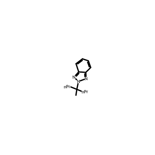 CCCC(C)(CCC)n1nc2ccccc2n1